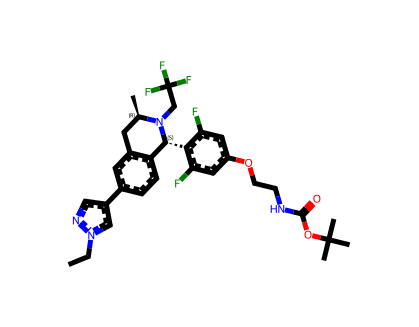 CCn1cc(-c2ccc3c(c2)C[C@@H](C)N(CC(F)(F)F)[C@@H]3c2c(F)cc(OCCNC(=O)OC(C)(C)C)cc2F)cn1